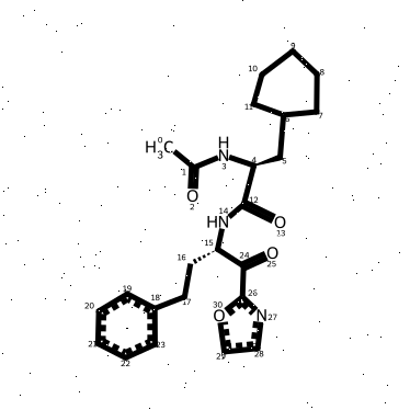 CC(=O)N[C@@H](CC1CCCCC1)C(=O)N[C@@H](CCc1ccccc1)C(=O)c1ncco1